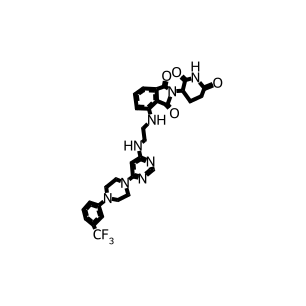 O=C1CCC(N2C(=O)c3cccc(NCCNc4cc(N5CCN(c6cccc(C(F)(F)F)c6)CC5)ncn4)c3C2=O)C(=O)N1